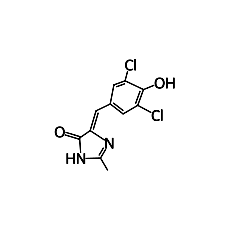 CC1=N/C(=C\c2cc(Cl)c(O)c(Cl)c2)C(=O)N1